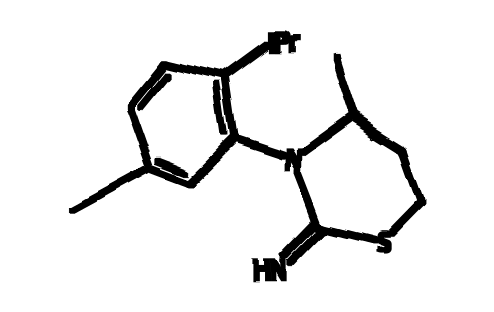 Cc1ccc(C(C)C)c(N2C(=N)SCCC2C)c1